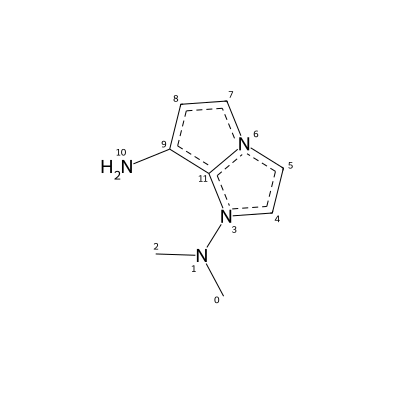 CN(C)n1ccn2ccc(N)c12